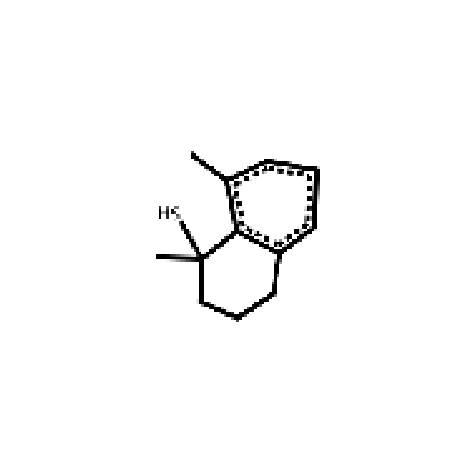 Cc1cccc2c1C(C)(S)CCC2